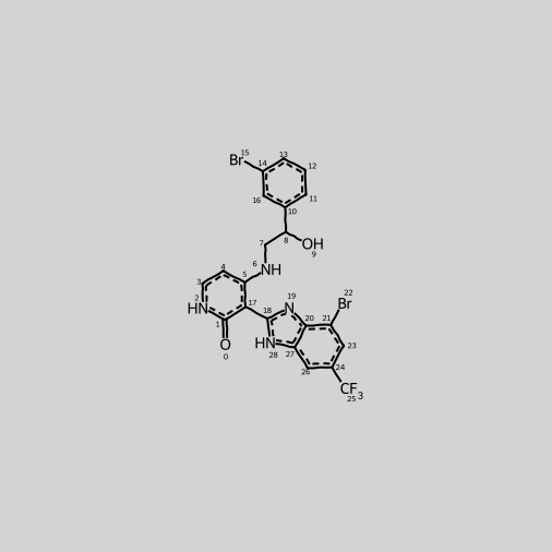 O=c1[nH]ccc(NCC(O)c2cccc(Br)c2)c1-c1nc2c(Br)cc(C(F)(F)F)cc2[nH]1